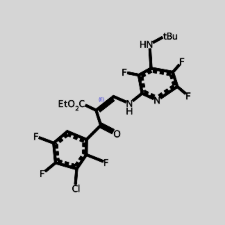 CCOC(=O)/C(=C/Nc1nc(F)c(F)c(NC(C)(C)C)c1F)C(=O)c1cc(F)c(F)c(Cl)c1F